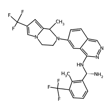 Cc1c([C@@H](N)Nc2nncc3ccc(N4CCn5cc(C(F)(F)F)cc5C4C)cc23)cccc1C(F)(F)F